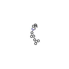 C1#Cc2c(ccc3cccnc23)/C=C\C(c2ccc3c(c2)-c2ccc(-c4ccc5c6ccccc6c6ccccc6c5c4)c4cccc-3c24)=C\1